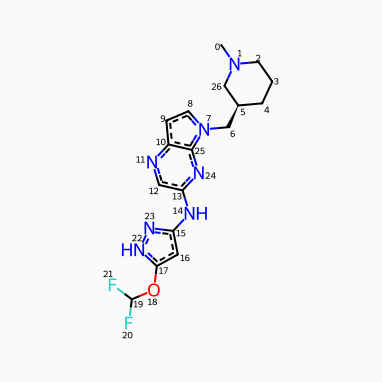 CN1CCC[C@@H](Cn2ccc3ncc(Nc4cc(OC(F)F)[nH]n4)nc32)C1